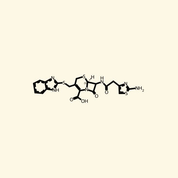 Nc1nc(CC(=O)NC2C(=O)N3C(C(=O)O)=C(CSc4nc5ccccc5[nH]4)CS[C@@H]23)cs1